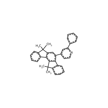 CC1(C)c2ccccc2-c2c1cc(-c1ccnc(-c3ccccc3)c1)c1c2C(C)(C)c2ccccc2-1